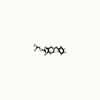 Cn1c(OCC(F)F)nc2c1CCN(Cc1ccccc1)C2